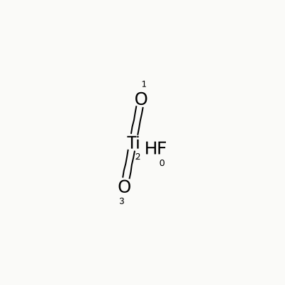 F.[O]=[Ti]=[O]